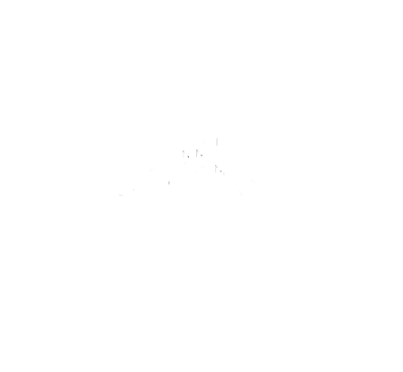 Cn1nc(-c2ccc(C(F)(F)F)cc2)cc1/N=C/c1ccsc1